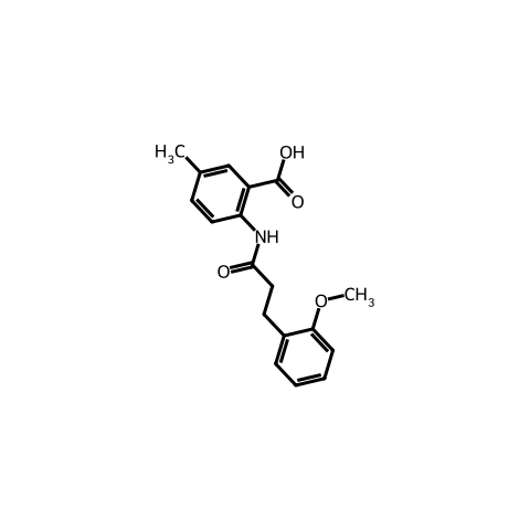 COc1ccccc1CCC(=O)Nc1ccc(C)cc1C(=O)O